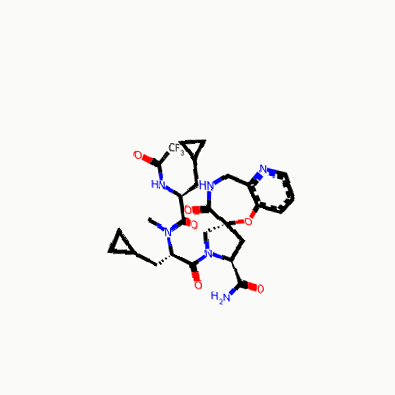 CN(C(=O)[C@H](CC1CC1)NC(=O)C(F)(F)F)[C@@H](CC1CC1)C(=O)N1C[C@@]2(C[C@H]1C(N)=O)Oc1cccnc1CNC2=O